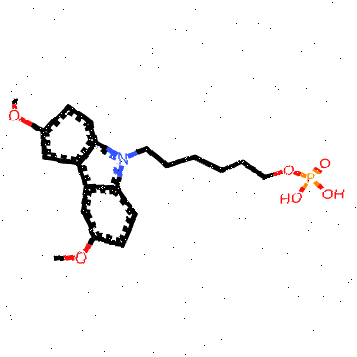 COc1ccc2c(c1)c1cc(OC)ccc1n2CCCCCCOP(=O)(O)O